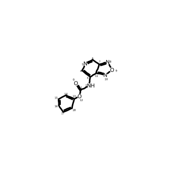 O=C(Nc1cncc2nonc12)Oc1ccccc1